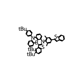 Cc1cc(-c2cc3ccccc3s2)cc(C)c1N1c2cccc3c2B(c2cc(C(C)(C)C)ccc2N3c2ccc(C(C)(C)C)cc2)c2c1sc1ccc(C(C)(C)C)cc21